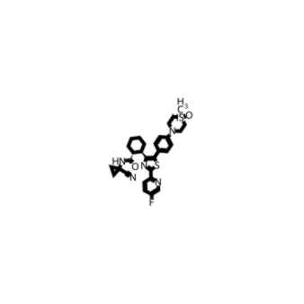 C[SH]1(=O)CCN(c2ccc(-c3sc(-c4ccc(F)cn4)nc3[C@@H]3CCCC[C@H]3C(=O)NC3(C#N)CC3)cc2)CC1